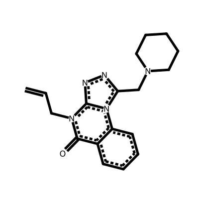 C=CCn1c(=O)c2ccccc2n2c(CN3CCCCC3)nnc12